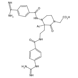 CC(=O)C1(CCNC(=O)c2ccc(NC(=N)N)cc2)C(=O)N(CC(=O)O)CCN1NC(=O)c1ccc(C(=N)N)cc1